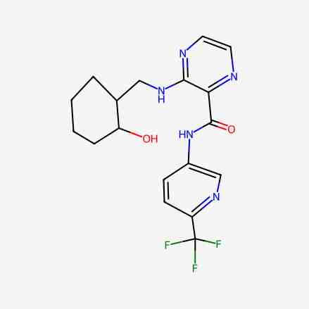 O=C(Nc1ccc(C(F)(F)F)nc1)c1nccnc1NCC1CCCCC1O